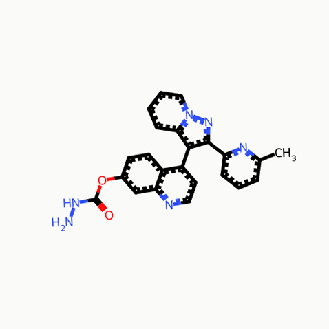 Cc1cccc(-c2nn3ccccc3c2-c2ccnc3cc(OC(=O)NN)ccc23)n1